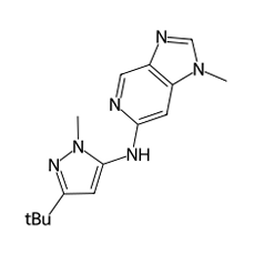 Cn1nc(C(C)(C)C)cc1Nc1cc2c(cn1)ncn2C